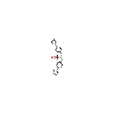 CC(C)(O)C(Cc1ccc(-c2ccsc2)cc1)Cc1ccc(-c2cccs2)cc1